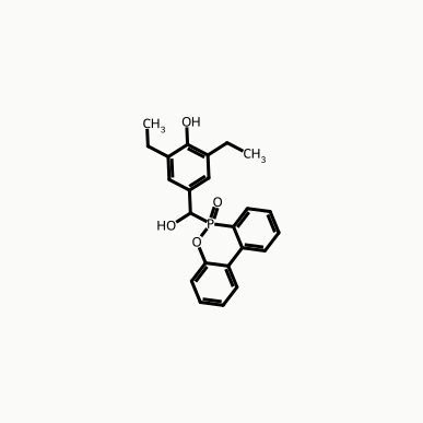 CCc1cc(C(O)P2(=O)Oc3ccccc3-c3ccccc32)cc(CC)c1O